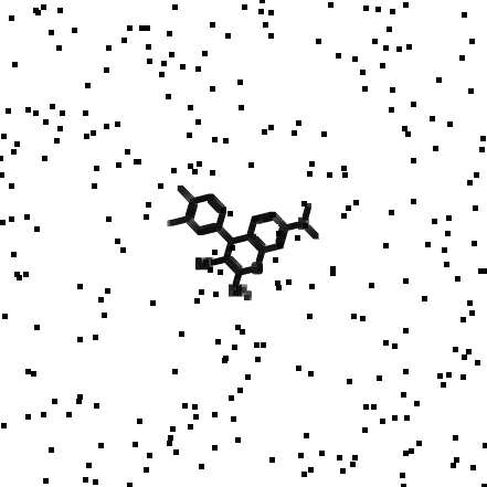 Cc1ccc(C2C(C#N)=C(N)Oc3cc(N(C)C)ccc32)cc1C